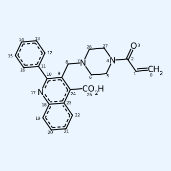 C=CC(=O)N1CCN(Cc2c(-c3ccccc3)nc3ccccc3c2C(=O)O)CC1